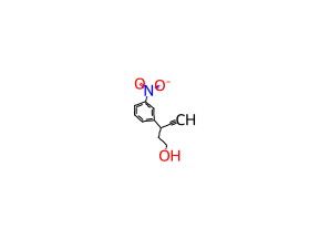 C#CC(CCO)c1cccc([N+](=O)[O-])c1